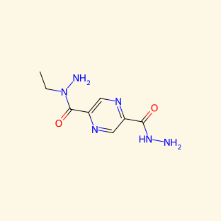 CCN(N)C(=O)c1cnc(C(=O)NN)cn1